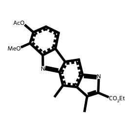 CCOC(=O)C1=C(C)c2c(C)c3c(cc2=N1)-c1ccc(OC(C)=O)c(OC)c1N=3